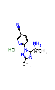 Cc1nc([C@H](C)N)n(-c2ccc(C#N)cn2)n1.Cl